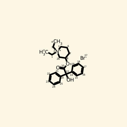 CC[N+]1(CC)CCCC(OC(=O)C(O)(c2ccccc2)c2ccccc2)C1.[Br-]